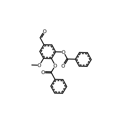 COc1cc(C=O)cc(OC(=O)c2ccccc2)c1OC(=O)c1ccccc1